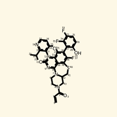 C=CC(=O)N1CCN2c3nc(=O)n(-c4c(C)ccnc4C(C)C)c4c(Cl)c(-c5c(O)ccc(F)c5F)c(F)c(c34)SCC2C1